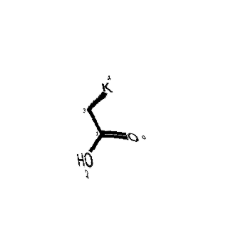 O=C(O)[CH2][K]